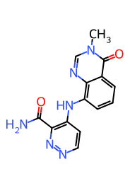 Cn1cnc2c(Nc3ccnnc3C(N)=O)cccc2c1=O